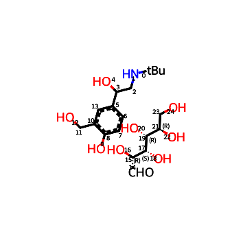 CC(C)(C)NCC(O)c1ccc(O)c(CO)c1.O=C[C@H](O)[C@@H](O)[C@H](O)[C@H](O)CO